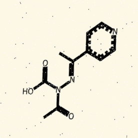 CC(=O)N(N=C(C)c1ccncc1)C(=O)O